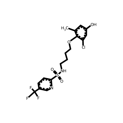 Cc1cc(O)cc(Cl)c1OCCCCNS(=O)(=O)c1ccc(C(F)(F)F)cn1